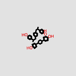 CC(Cc1ccc(CC(C)c2ccc(O)cc2)cc1)c1ccc(O)cc1.Oc1ccc(C2CCC(c3ccc(O)cc3)CC2)cc1